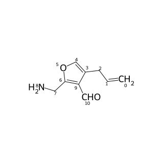 C=CCc1coc(CN)c1C=O